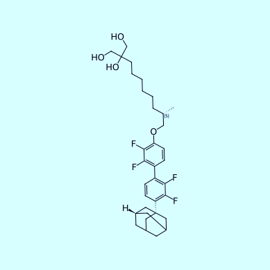 C[C@@H](CCCCCCC(O)(CO)CO)COc1ccc(-c2ccc([C@]34CC5CC(C[C@H](C5)C3)C4)c(F)c2F)c(F)c1F